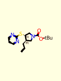 C=CC[C@@H]1CN(C(=O)OC(C)(C)C)C[C@H]1Sc1ncccn1